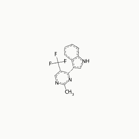 Cc1ncc(C(F)(F)F)c(-c2c[nH]c3ccccc23)n1